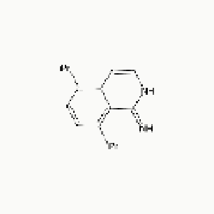 CC(C)c1ccc(C(C)C)c2c(=N)[nH]ccc12